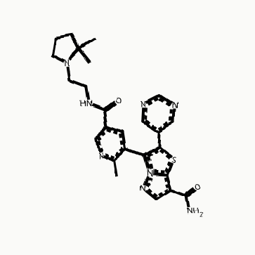 Cc1ncc(C(=O)NCCN2CCCC2(C)C)cc1-c1c(-c2cncnc2)sc2c(C(N)=O)cnn12